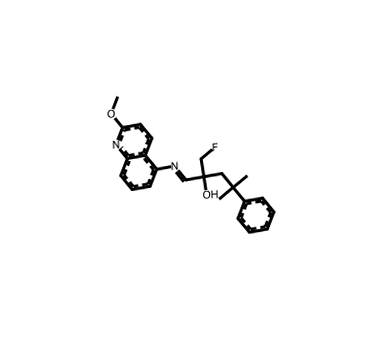 COc1ccc2c(N=CC(O)(CF)CC(C)(C)c3ccccc3)cccc2n1